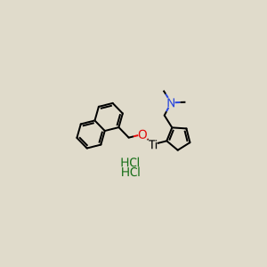 CN(C)CC1=[C]([Ti][O]Cc2cccc3ccccc23)CC=C1.Cl.Cl